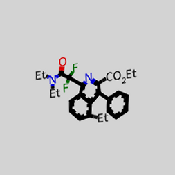 CCOC(=O)c1nc(C(F)(F)C(=O)N(CC)CC)c2cccc(CC)c2c1-c1ccccc1